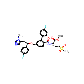 Cn1cncc1CC(OCc1ccc(C(=O)N[C@@H](CCS(C)(=O)=O)C(=O)OC(C)(C)C)c(-c2ccc(F)cc2)c1)c1ccc(F)cc1